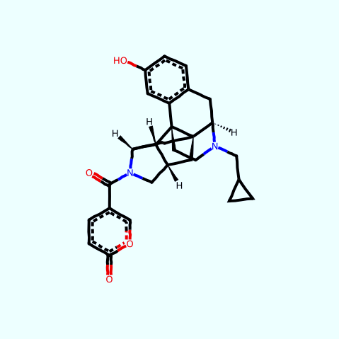 O=C(c1ccc(=O)oc1)N1C[C@H]2C[C@@]34CC[C@@H]1[C@@H]2[C@@]31CCN(CC2CC2)[C@@H]4Cc2ccc(O)cc21